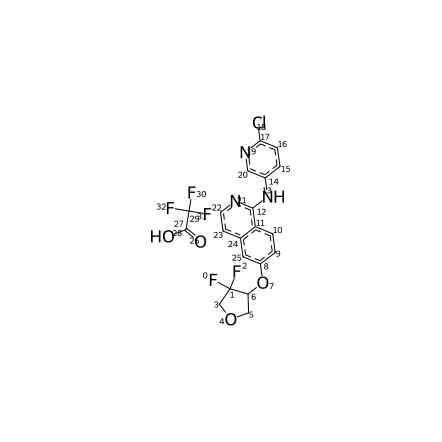 FC1(F)COCC1Oc1ccc2c(Nc3ccc(Cl)nc3)nccc2c1.O=C(O)C(F)(F)F